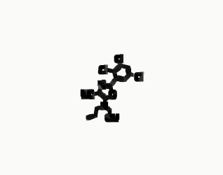 C=CCN(CO)c1oc(-c2cc(Cl)cc(Cl)c2Cl)nc1C#N